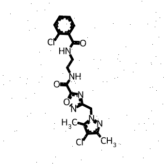 Cc1nn(Cc2noc(C(=O)NCCNC(=O)c3ccccc3Cl)n2)c(C)c1Cl